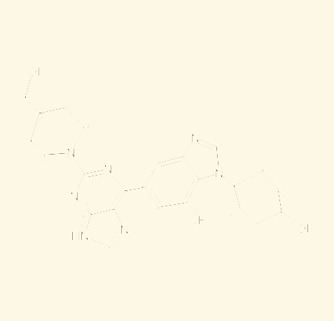 OCC1CCN(c2nc(-c3cc(F)c4c(c3)ncn4C3CCC(O)CC3)c3nc[nH]c3n2)CC1